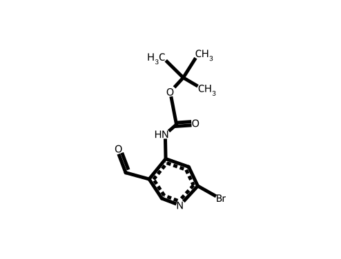 CC(C)(C)OC(=O)Nc1cc(Br)ncc1C=O